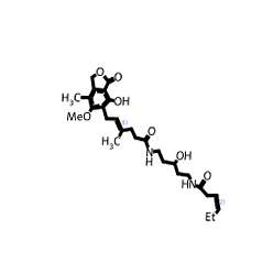 CC/C=C\CC(=O)NCCC(O)CCNC(=O)CC/C(C)=C/Cc1c(O)c2c(c(C)c1OC)COC2=O